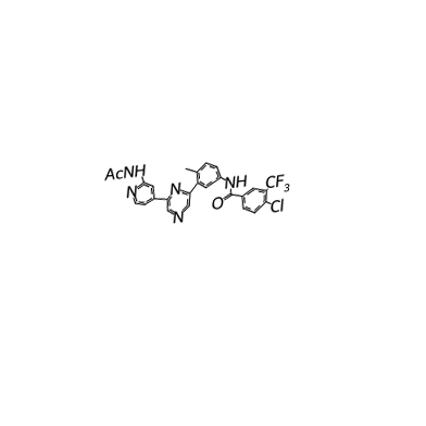 CC(=O)Nc1cc(-c2cncc(-c3cc(NC(=O)c4ccc(Cl)c(C(F)(F)F)c4)ccc3C)n2)ccn1